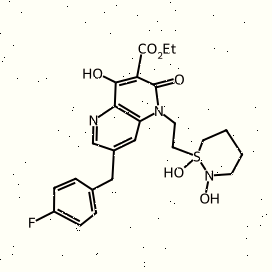 CCOC(=O)c1c(O)c2ncc(Cc3ccc(F)cc3)cc2n(CCS2(O)CCCCN2O)c1=O